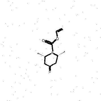 C=COC(=O)N1[C@H](C)CC(=O)C[C@@H]1C